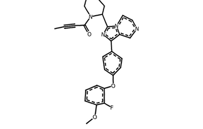 CC#CC(=O)N1CCCCC1c1nc(-c2ccc(Oc3cccc(OC)c3F)cc2)c2cnccn12